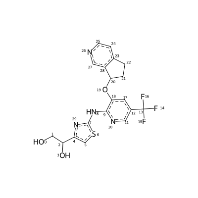 OCC(O)c1csc(Nc2ncc(C(F)(F)F)cc2OC2CCc3ccncc32)n1